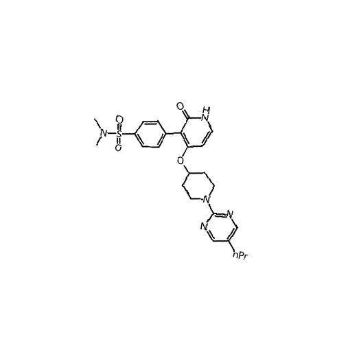 CCCc1cnc(N2CCC(Oc3cc[nH]c(=O)c3-c3ccc(S(=O)(=O)N(C)C)cc3)CC2)nc1